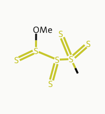 COS(=S)S(=S)S(C)(=S)=S